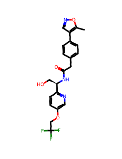 Cc1oncc1-c1ccc(CC(=O)N[C@H](CO)c2ccc(OCC(F)(F)F)cn2)cc1